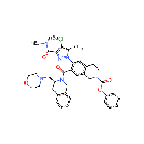 CCCCN(CCCC)C(=O)c1nn(-c2cc3c(cc2C(=O)N2Cc4ccccc4C[C@H]2CN2CCOCC2)CN(C(=O)Oc2ccccc2)CC3)c(C)c1Cl